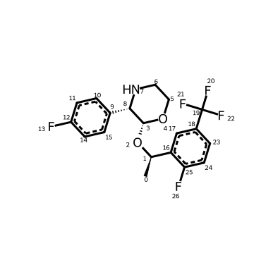 C[C@@H](O[C@H]1OCCN[C@H]1c1ccc(F)cc1)c1cc(C(F)(F)F)ccc1F